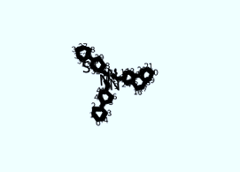 c1ccc(-c2ccc(-c3nc(-c4ccc5c(ccc6ccccc65)c4)nc(-c4ccc5c(c4)sc4ccccc45)n3)cc2)cc1